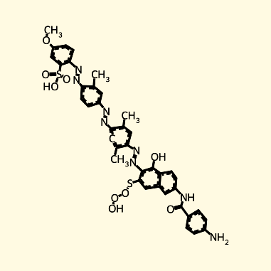 COc1ccc(N=Nc2ccc(N=Nc3cc(C)c(N=Nc4c(SOOO)cc5cc(NC(=O)c6ccc(N)cc6)ccc5c4O)cc3C)cc2C)c(S(=O)(=O)O)c1